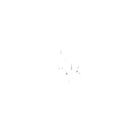 CCCOCCC(C1(C)COC1)[Si](C)(OCC)OCC